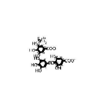 O=C([O-])c1cc(O)c(O)c(S)c1.O=C([O-])c1cc(O)c(O)c(S)c1.O=C([O-])c1cc(O)c(O)c(S)c1.[Eu+3].[SrH2]